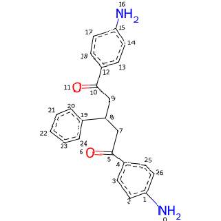 Nc1ccc(C(=O)CC(CC(=O)c2ccc(N)cc2)c2ccccc2)cc1